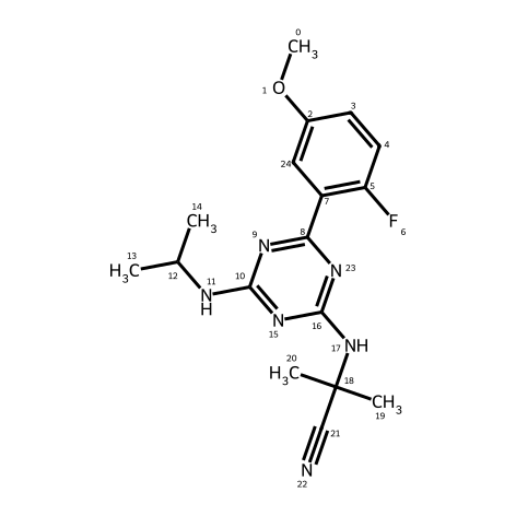 COc1ccc(F)c(-c2nc(NC(C)C)nc(NC(C)(C)C#N)n2)c1